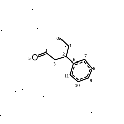 [CH2]CC(CC=O)c1ccccc1